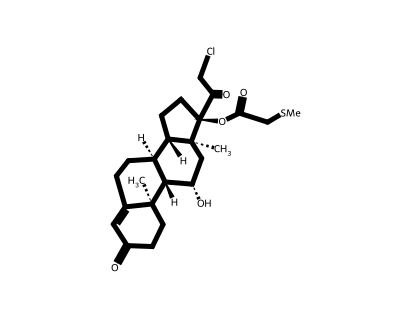 CSCC(=O)O[C@]1(C(=O)CCl)CC[C@H]2[C@@H]3CCC4=CC(=O)CC[C@]4(C)[C@H]3[C@@H](O)C[C@@]21C